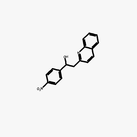 O=[N+]([O-])c1ccc(C(O)Cc2ccc3ccccc3n2)cc1